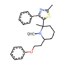 Cc1nc(-c2ccccc2)c(C2(C)CCCC(CCOc3ccccc3)N2C=O)s1